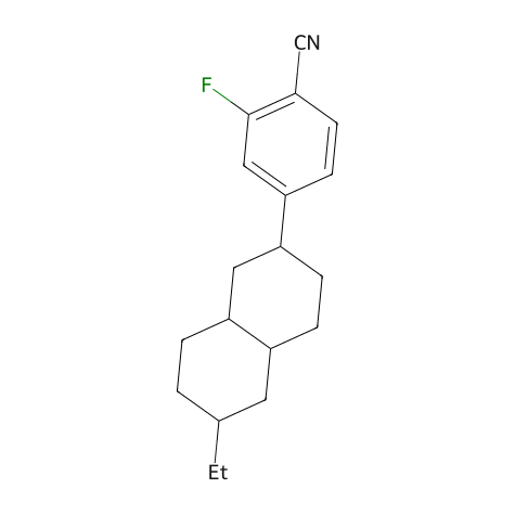 CCC1CCC2CC(c3ccc(C#N)c(F)c3)CCC2C1